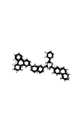 c1ccc(-c2nc(-c3ccc4ccc(-c5ccc6c7ccccc7c7ccccc7c6c5)cc4c3)nc(-c3ccc4c(ccc5cnccc54)c3)n2)cc1